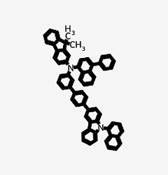 CC1(C)c2ccccc2-c2ccc(N(c3cccc(-c4ccc(-c5ccc6c(c5)c5ccccc5n6-c5cccc6ccccc56)cc4)c3)c3ccc(-c4ccccc4)c4ccccc34)cc21